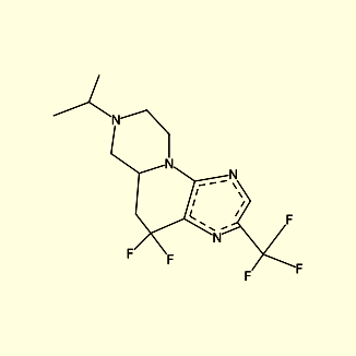 CC(C)N1CCN2c3ncc(C(F)(F)F)nc3C(F)(F)CC2C1